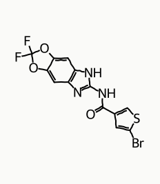 O=C(Nc1nc2cc3c(cc2[nH]1)OC(F)(F)O3)c1csc(Br)c1